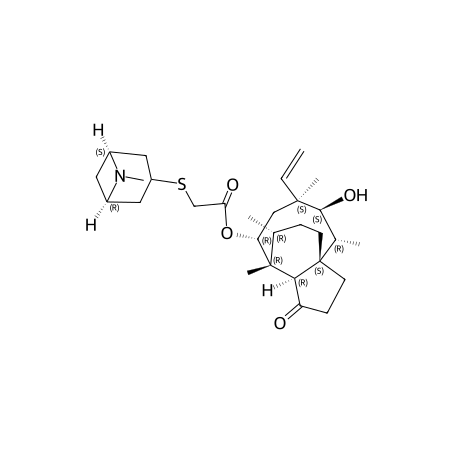 C=C[C@]1(C)C[C@@H](OC(=O)CSC2C[C@@H]3C[C@H](C2)N3C)[C@]2(C)[C@H](C)CC[C@]3(CCC(=O)[C@H]32)[C@@H](C)[C@@H]1O